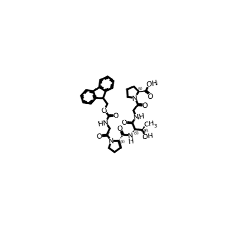 C[C@@H](O)[C@H](NC(=O)[C@@H]1CCCN1C(=O)CNC(=O)OCC1c2ccccc2-c2ccccc21)C(=O)NCC(=O)N1CCC[C@H]1C(=O)O